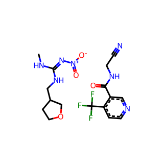 CN/C(=N/[N+](=O)[O-])NCC1CCOC1.N#CCNC(=O)c1cnccc1C(F)(F)F